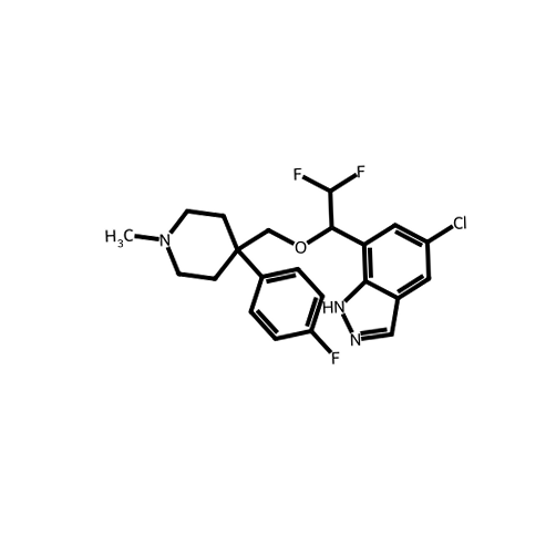 CN1CCC(COC(c2cc(Cl)cc3cn[nH]c23)C(F)F)(c2ccc(F)cc2)CC1